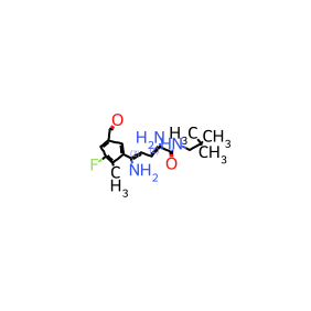 Cc1c(F)cc(C=O)cc1/C(N)=C/C=C(\N)C(=O)NCC(C)(C)C